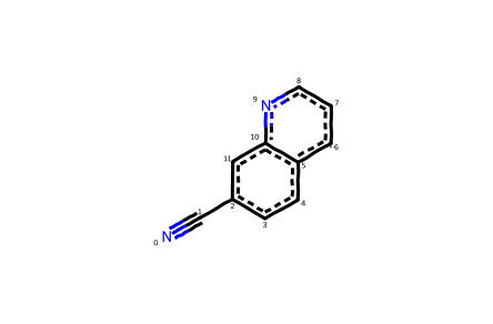 N#Cc1ccc2[c]ccnc2c1